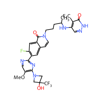 COc1cnc(-c2cc3ccn(CCCC(C)Nc4cn[nH]c(=O)c4C(F)(F)F)c(=O)c3cc2F)nc1N1CC(O)(C(F)(F)F)C1